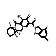 O=C(NCc1c(F)cc(F)cc1F)c1cn2c(c(O)c1=O)C(=O)N1[C@H]3CCC[C@H](C3)[C@H]1C2